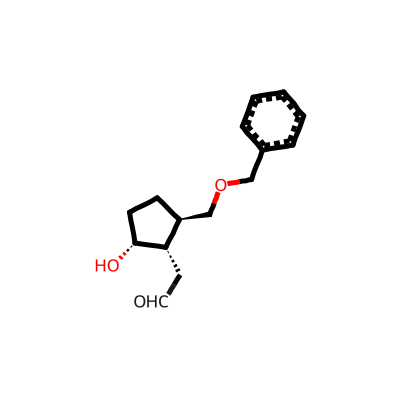 O=CC[C@H]1[C@H](COCc2ccccc2)CC[C@H]1O